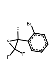 FC1(F)SC1(F)c1ccccc1Br